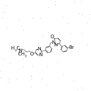 CN(C)CCCOc1cnc(-c2cccc(Cn3nc(-c4cccc(Br)c4)ccc3=O)c2)nc1